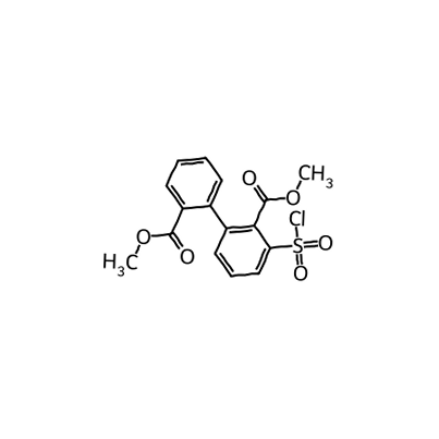 COC(=O)c1ccccc1-c1cccc(S(=O)(=O)Cl)c1C(=O)OC